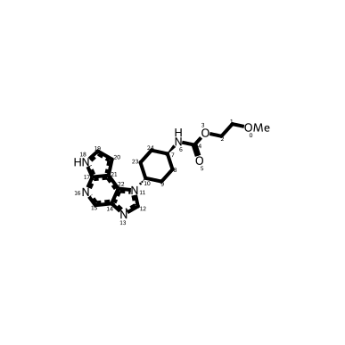 COCCOC(=O)N[C@H]1CC[C@H](n2cnc3cnc4[nH]ccc4c32)CC1